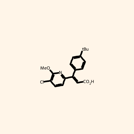 COc1nc(/C(=C/C(=O)O)c2ccc(C(C)(C)C)cc2)ccc1Cl